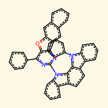 c1ccc(-c2nc(-n3c4ccccc4c4ccc5c6ccccc6n(-c6ccccc6)c5c43)nc3c2oc2cc4ccccc4cc23)cc1